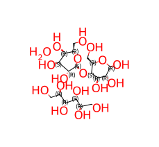 O.OC[C@@H](O)[C@@H](O)[C@H](O)[C@H](O)CO.OC[C@H]1O[C@@H](O[C@H]2[C@H](O)[C@@H](O)[C@H](O)O[C@@H]2CO)[C@H](O)[C@@H](O)[C@H]1O